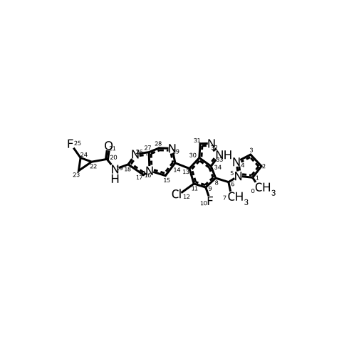 Cc1ccnn1C(C)c1c(F)c(Cl)c(-c2cn3cc(NC(=O)C4CC4F)nc3cn2)c2cn[nH]c12